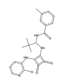 Cc1cccc(C(=O)NC(Nc2c(Nc3cccnc3Cl)c(=O)c2=O)C(C)(C)C)c1